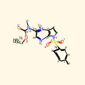 Cc1ccc(S(=O)(=O)n2ccc3nc(N(C)C(=O)OC(C)(C)C)cnc32)cc1